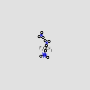 FC(F)(F)C(c1ccc(-c2nc(-c3ccccc3)nc(-c3ccccc3)n2)cc1)(c1ccc(-n2c3ccccc3c3cc(-c4ccc5c(c4)c4ccccc4n5-c4ccccc4)ccc32)cc1)C(F)(F)F